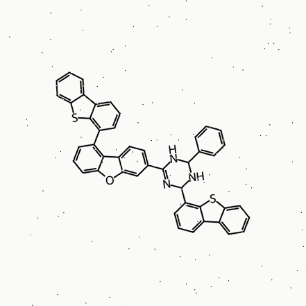 c1ccc(C2NC(c3ccc4c(c3)oc3cccc(-c5cccc6c5sc5ccccc56)c34)=NC(c3cccc4c3sc3ccccc34)N2)cc1